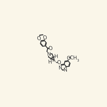 COc1ccc2ncnc(OC[C@@H]3[C@H]4CN(CC(=O)c5ccc6c(c5)OCCO6)C[C@@H]34)c2c1